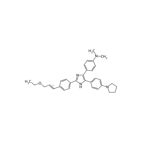 CCOC/C=C/c1ccc(-c2nc(-c3ccc(N(C)C)cc3)c(-c3ccc(N4CCCC4)cc3)[nH]2)cc1